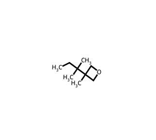 CCC(C)(C)C1(C)COC1